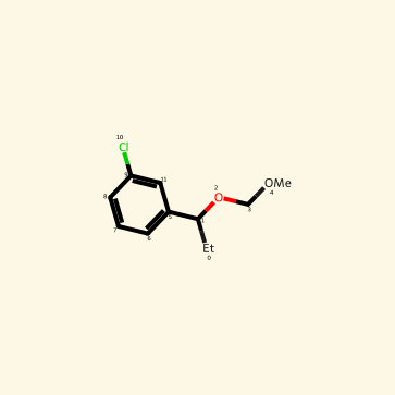 [CH2]CC(OCOC)c1cccc(Cl)c1